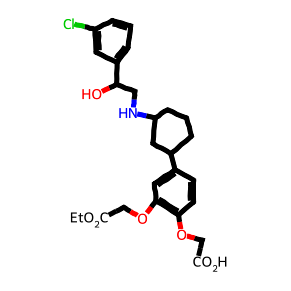 CCOC(=O)COc1cc(C2CCCC(NCC(O)c3cccc(Cl)c3)C2)ccc1OCC(=O)O